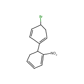 O=[N+]([O-])C1=CC=CCC1C1=CCC(Br)C=C1